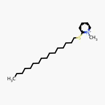 CCCCCCCCCCCCCCCCSc1cccc[n+]1C